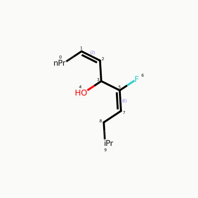 CCC/C=C\C(O)/C(F)=C\CC(C)C